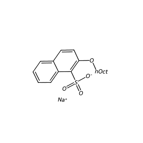 CCCCCCCCOc1ccc2ccccc2c1S(=O)(=O)[O-].[Na+]